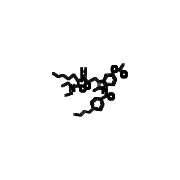 CCCCCC(NC(=O)Cc1c(C)n(C(=O)c2ccc(CCCC)cc2)c2ccc(OC(C)=O)cc12)C(=O)N(CC)CC